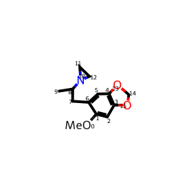 COc1cc2c(cc1CC(C)N1CC1)OCO2